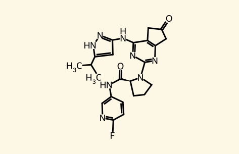 CC(C)c1cc(Nc2nc(N3CCC[C@H]3C(=O)Nc3ccc(F)nc3)nc3c2CC(=O)C3)n[nH]1